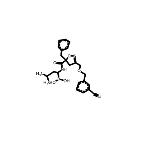 CC(C)CC(NC(=O)C1(Cc2ccccc2)CC(COCc2cccc(C#N)c2)=NO1)B(O)O